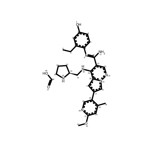 CCc1cc(O)ccc1N=C(N)c1cnn2cc(-c3cnc(OC)cc3C)cc2c1NC[C@@H]1CCCN1.O=CO